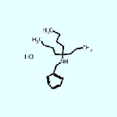 CCCCC(CCC)(CCCC)NCc1ccccc1.Cl